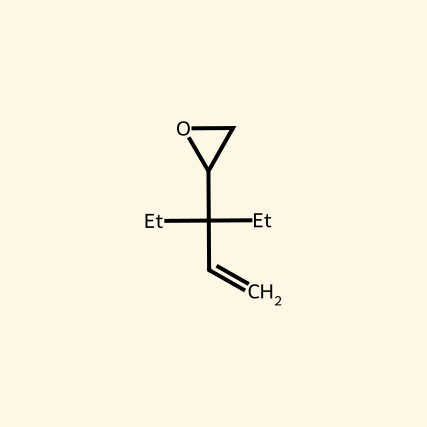 C=CC(CC)(CC)C1CO1